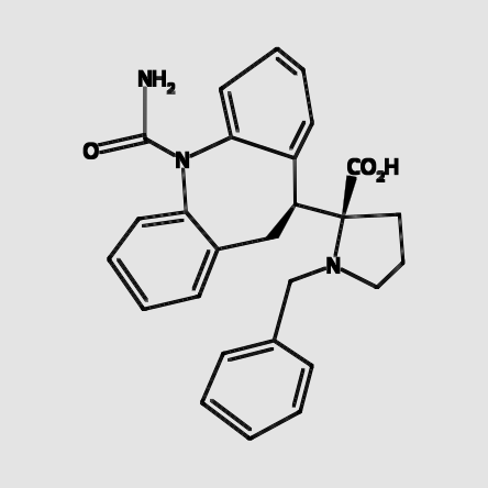 NC(=O)N1c2ccccc2C[C@H]([C@]2(C(=O)O)CCCN2Cc2ccccc2)c2ccccc21